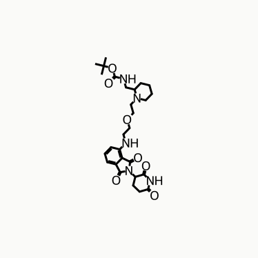 CC(C)(C)OC(=O)NCC1CCCCN1CCOCCNc1cccc2c1C(=O)N(C1CCC(=O)NC1=O)C2=O